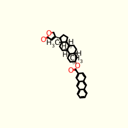 C[C@]12CC[C@H](OC(=O)c3ccc4cc5ccccc5cc4c3)C[C@H]1CC[C@@H]1[C@@H]2CC[C@]2(C)[C@@H](C3=CC(=O)OC3)CC[C@@H]12